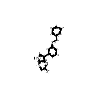 Clc1cnc2[nH]cc(-c3cccc(SCc4ccccc4)c3)c2n1